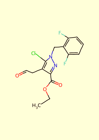 CCOC(=O)c1nn(Cc2c(F)cccc2F)c(Cl)c1CC=O